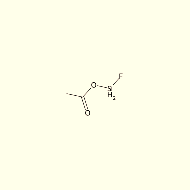 CC(=O)O[SiH2]F